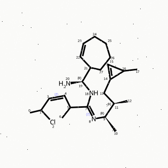 CC(Cl)/C=C\C(C)/C(=N/[C@H](C)[C@H](C)CC1=CC1C)N[C@@H](N)C1C=CCCCC1